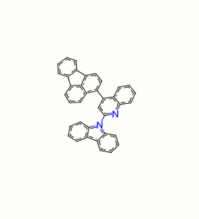 c1ccc2c(c1)-c1cccc3c(-c4cc(-n5c6ccccc6c6ccccc65)nc5ccccc45)ccc-2c13